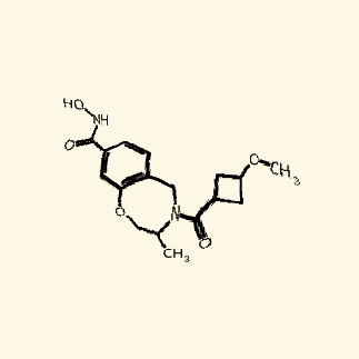 COC1CC(C(=O)N2Cc3ccc(C(=O)NO)cc3OCC2C)C1